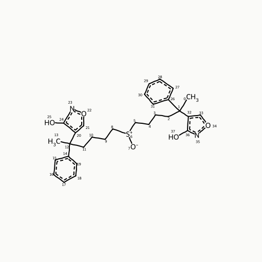 CC(CCCC[S+]([O-])CCCCC(C)(c1ccccc1)c1conc1O)(c1ccccc1)c1conc1O